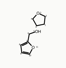 C1CCOC1.OCc1ccco1